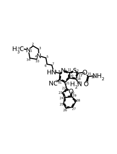 CN1CCN(CCCNc2nc3sc(OC(N)=O)c(N)c3c(-c3cc4ccccc4o3)c2C#N)CC1